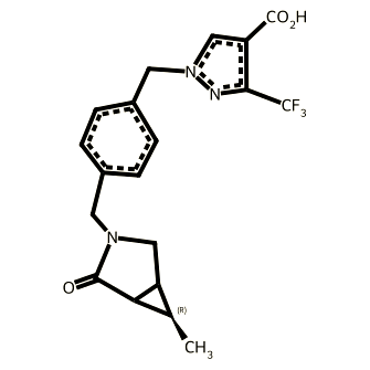 C[C@@H]1C2CN(Cc3ccc(Cn4cc(C(=O)O)c(C(F)(F)F)n4)cc3)C(=O)C21